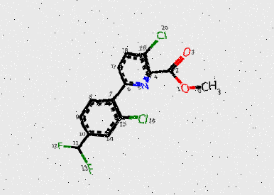 COC(=O)c1nc(-c2ccc(C(F)F)cc2Cl)ccc1Cl